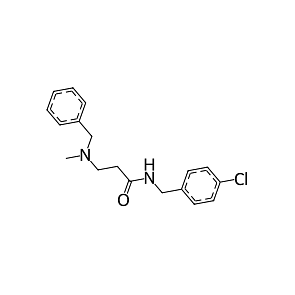 CN(CCC(=O)NCc1ccc(Cl)cc1)Cc1ccccc1